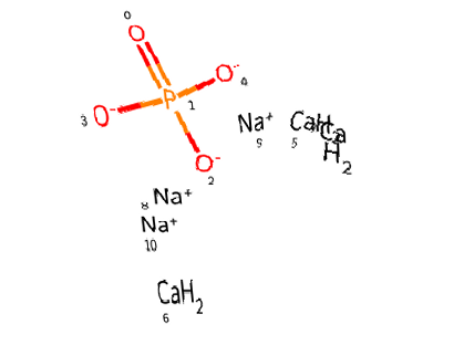 O=P([O-])([O-])[O-].[CaH2].[CaH2].[CaH2].[Na+].[Na+].[Na+]